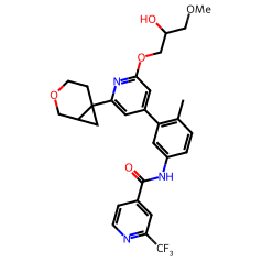 COCC(O)COc1cc(-c2cc(NC(=O)c3ccnc(C(F)(F)F)c3)ccc2C)cc(C23CCOCC2C3)n1